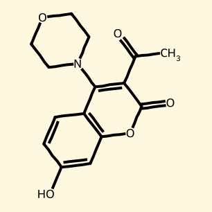 CC(=O)c1c(N2CCOCC2)c2ccc(O)cc2oc1=O